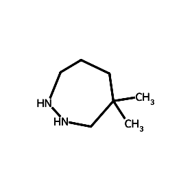 CC1(C)CCCNNC1